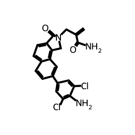 C=C(CN1Cc2c(ccc3ccc(-c4cc(Cl)c(N)c(Cl)c4)cc23)C1=O)C(N)=O